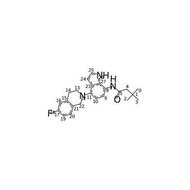 CC(C)(C)CC(=O)Nc1ccc(N2CCc3cc(F)ccc3C2)c2cc[nH]c12